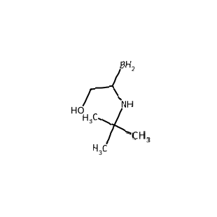 BC(CO)NC(C)(C)C